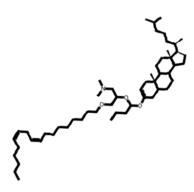 CCCCC/C=C\C/C=C\CCCCCCCCOCC(CN(C)C)OC(CCC)OC1=CC[C@@]2(C)C(CCC3C2CC[C@@]2(C)C3CC[C@@H]2[C@H](C)CCCC(C)C)C1